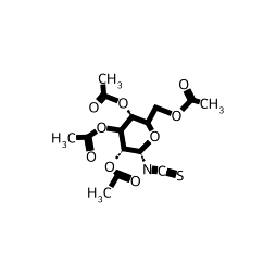 CC(=O)OCC1O[C@H](N=C=S)[C@H](OC(C)=O)C(OC(C)=O)[C@@H]1OC(C)=O